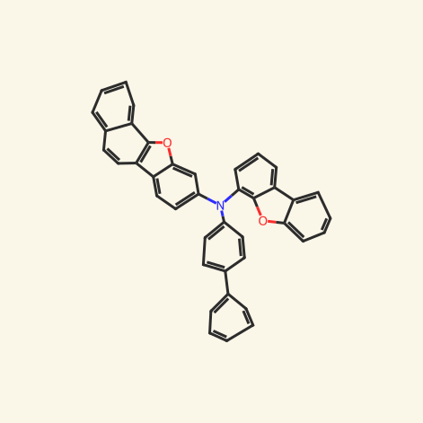 c1ccc(-c2ccc(N(c3ccc4c(c3)oc3c5ccccc5ccc43)c3cccc4c3oc3ccccc34)cc2)cc1